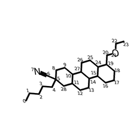 CCCCCC1(C#N)CCC2C(CCC3C4CCCC(COCC)C4CCC23)C1